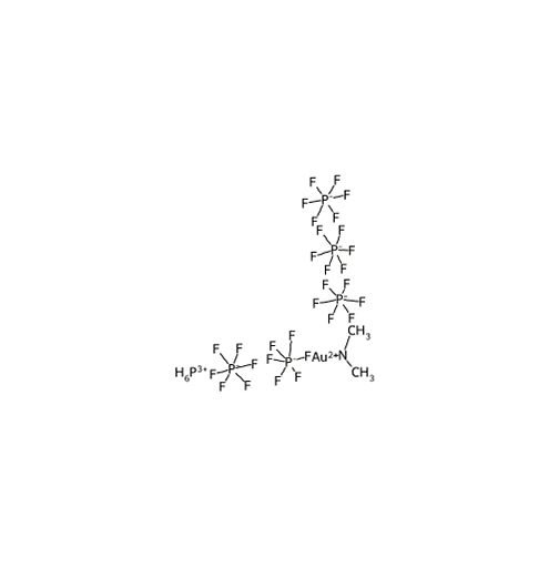 C[N](C)[Au+2].F[P-](F)(F)(F)(F)F.F[P-](F)(F)(F)(F)F.F[P-](F)(F)(F)(F)F.F[P-](F)(F)(F)(F)F.F[P-](F)(F)(F)(F)F.[PH6+3]